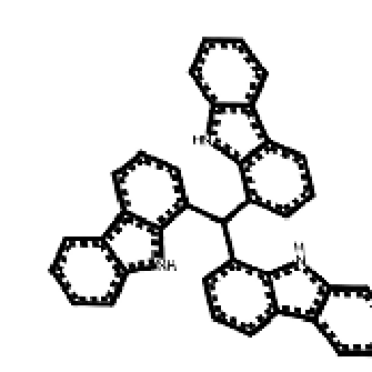 c1ccc2c(c1)[nH]c1c(C(c3cccc4c3[nH]c3ccccc34)c3cccc4c3[nH]c3ccccc34)cccc12